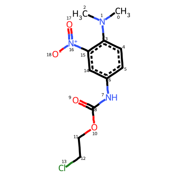 CN(C)c1ccc(NC(=O)OCCCl)cc1[N+](=O)[O-]